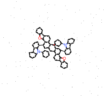 c1ccc(-n2c3ccccc3c3cccc(-c4cc5cc6c(cc(-c7cccc8c9ccccc9n(-c9ccccc9)c78)c7c6ccc6c8ccccc8oc67)cc5c5ccc6c7ccccc7oc6c45)c32)cc1